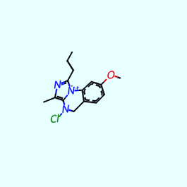 CCCC1=NC(C)=C2N(Cl)Cc3ccc(OC)cc3[N+]12